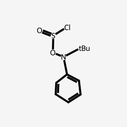 CC(C)(C)N(OS(=O)Cl)c1ccccc1